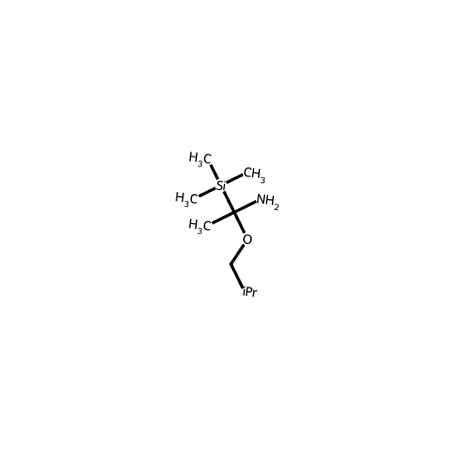 CC(C)COC(C)(N)[Si](C)(C)C